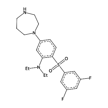 CCN(CC)c1cc(N2CCCNCC2)ccc1S(=O)(=O)c1cc(F)cc(F)c1